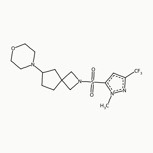 Cn1nc(C(F)(F)F)cc1S(=O)(=O)N1CC2(CCC(N3CCOCC3)C2)C1